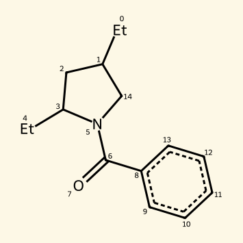 CCC1CC(CC)N(C(=O)c2ccccc2)C1